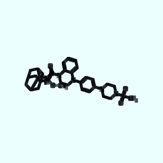 COC(=O)C12CC3CC(C1)C(NC(=O)N1CCN(c4ccc(N5CCN(S(C)(=O)=O)CC5)cc4)c4ccccc41)C(C3)C2